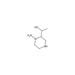 CC(O)C1CNCCN1N